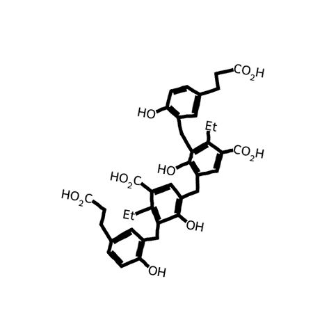 CCc1c(C(=O)O)cc(Cc2cc(C(=O)O)c(CC)c(Cc3cc(CCC(=O)O)ccc3O)c2O)c(O)c1Cc1cc(CCC(=O)O)ccc1O